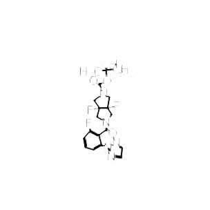 CC(C)(C)OC(=O)N1C[C@@]2(F)CN(C(=O)c3c(F)cccc3-n3nccn3)C[C@@]2(F)C1